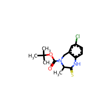 CC1C(=S)Nc2ccc(Cl)cc2CN1C(=O)OC(C)(C)C